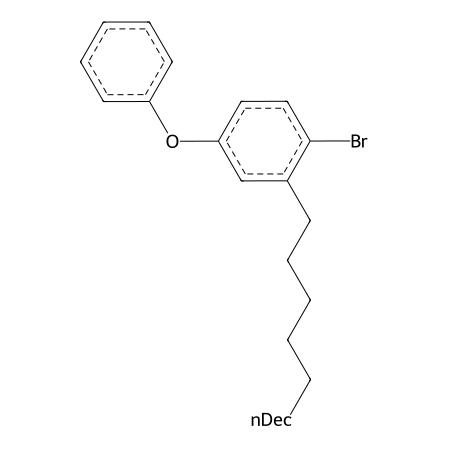 CCCCCCCCCCCCCCCc1cc(Oc2ccccc2)ccc1Br